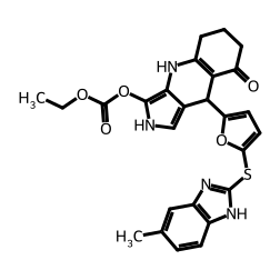 CCOC(=O)Oc1[nH]cc2c1NC1=C(C(=O)CCC1)C2c1ccc(Sc2nc3cc(C)ccc3[nH]2)o1